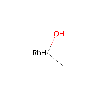 CCO.[RbH]